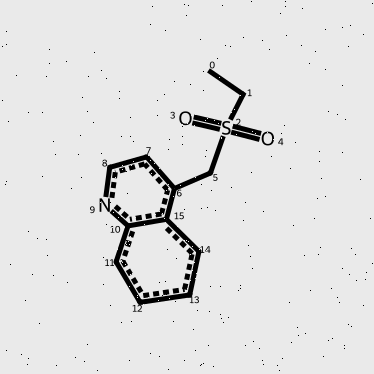 CCS(=O)(=O)Cc1ccnc2ccccc12